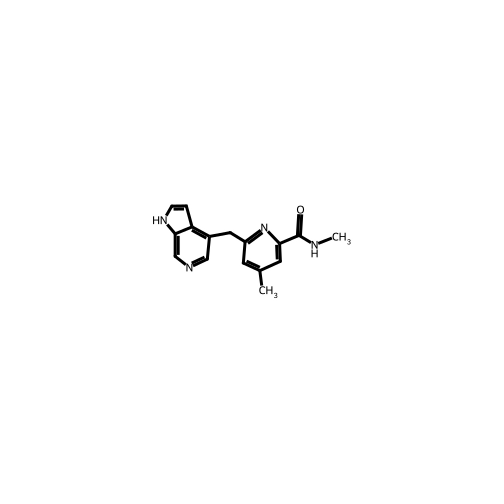 CNC(=O)c1cc(C)cc(Cc2cncc3[nH]ccc23)n1